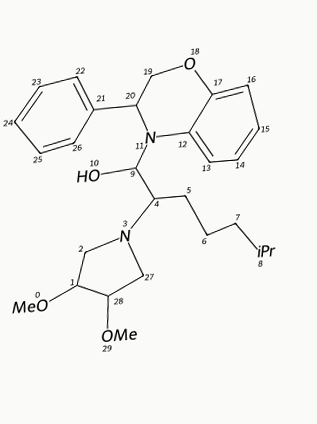 COC1CN(C(CCCC(C)C)C(O)N2c3ccccc3OCC2c2ccccc2)CC1OC